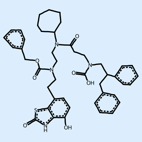 O=C(O)N(CCC(=O)N(CCN(CCc1ccc(O)c2[nH]c(=O)sc12)C(=O)OCc1ccccc1)C1CCCCCC1)CC(Cc1ccccc1)c1ccccc1